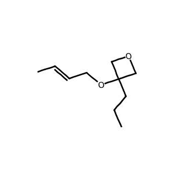 CC=CCOC1(CCC)COC1